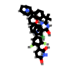 CC1(C)c2ccc(C3CC4CCC(C3)N4CC3CCC4(CCN(c5cc(F)c(C6CCC(=O)NC6=O)c(F)c5)CC4)OC3)cc2-n2c1nc(=O)c1c(Cl)cccc12